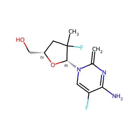 C=C1N=C(N)C(F)=CN1[C@@H]1O[C@H](CO)CC1(C)F